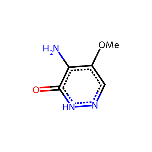 COc1cn[nH]c(=O)c1N